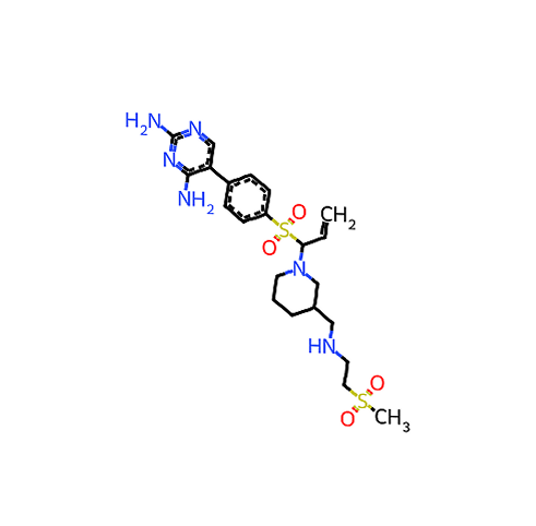 C=CC(N1CCCC(CNCCS(C)(=O)=O)C1)S(=O)(=O)c1ccc(-c2cnc(N)nc2N)cc1